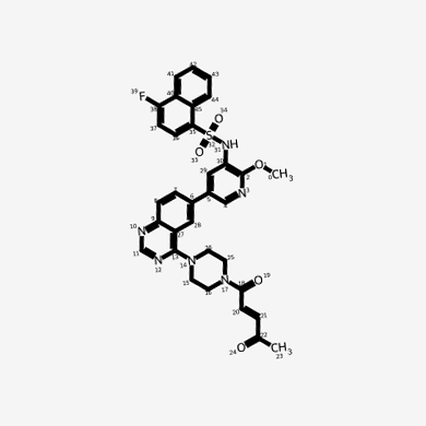 COc1ncc(-c2ccc3ncnc(N4CCN(C(=O)/C=C/C(C)=O)CC4)c3c2)cc1NS(=O)(=O)c1ccc(F)c2ccccc12